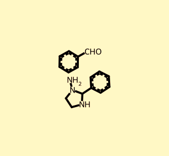 NN1CCNC1c1ccccc1.O=Cc1ccccc1